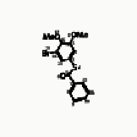 COc1cc(SC(=O)c2ccccc2)cc(Br)c1OC